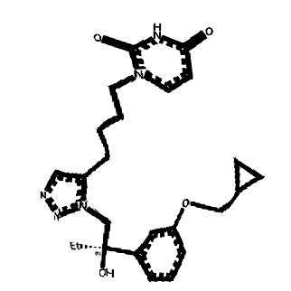 CC[C@](O)(Cn1nncc1CCCCn1ccc(=O)[nH]c1=O)c1cccc(OCC2CC2)c1